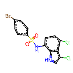 O=S(=O)(Nc1ccc(Cl)c2c(Cl)c[nH]c12)c1ccc(Br)cc1